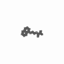 C=C(C)C(=O)OCCOc1cccc2ccccc12